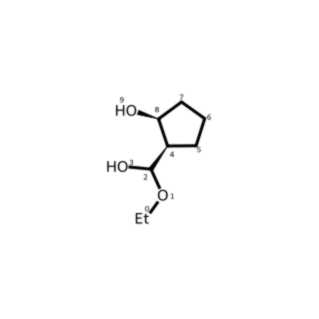 CCOC(O)[C@@H]1CCC[C@@H]1O